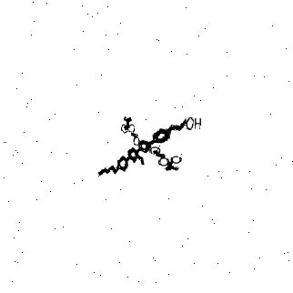 C=C(C)C(=O)OCCOc1cc(-c2ccc(C3CCC(CCCCC)CC3)cc2CC)c(OCCOC(=O)C(=C)C)cc1-c1ccc(CCCO)cc1